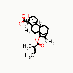 C=C1C2CC[C@@H]3C4(C)CCCC(C)(C(=O)O)C4CCC3(C2)C1OC(=O)/C(C)=C/C